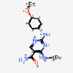 CCO[C@H]1CC[C@H](Nc2ncc(C(N)=O)c(NC(C)(C)C)n2)CC1